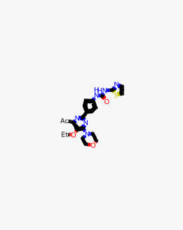 CCOc1c(C(C)=O)nc(-c2ccc(NC(=O)Nc3nccs3)cc2)nc1N1CCOCC1